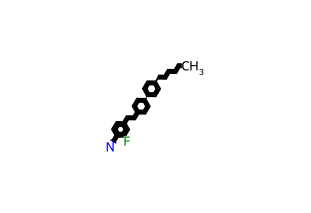 CCCCCC[C@H]1CC[C@H](C2CCC(CCc3ccc(C#N)c(F)c3)CC2)CC1